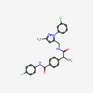 CC(C(=O)NCc1cc(C(F)(F)F)nn1-c1cccc(Cl)c1)c1ccc(C(=O)Nc2ccc(F)cc2)cc1